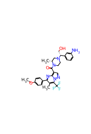 COc1ccc(-c2nc3c(C(=O)N4CCN([C@H](CO)c5cccc(N)c5)C[C@H]4C)cnn3c(C(F)(F)F)c2C)cc1